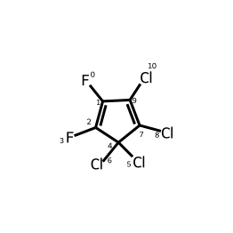 FC1=C(F)C(Cl)(Cl)C(Cl)=C1Cl